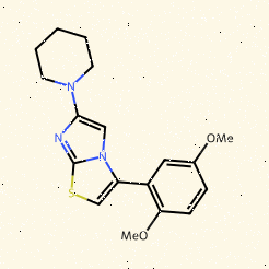 COc1ccc(OC)c(-c2csc3nc(N4CCCCC4)cn23)c1